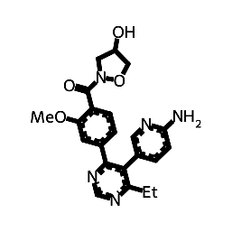 CCc1ncnc(-c2ccc(C(=O)N3CC(O)CO3)c(OC)c2)c1-c1ccc(N)nc1